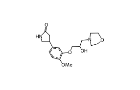 COc1ccc(C2CNC(=O)C2)cc1OCC(O)CN1CCOCC1